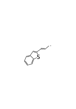 [CH2]/C=C/c1cc2ccccc2s1